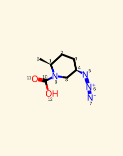 C[C@H]1CC[C@@H](N=[N+]=[N-])CN1C(=O)O